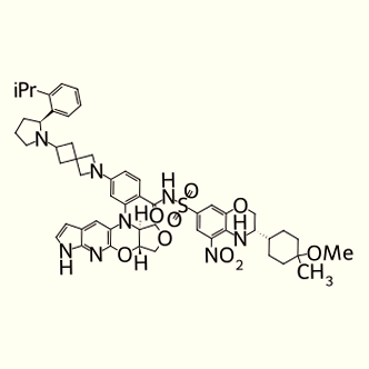 COC1(C)CCC([C@H]2COc3cc(S(=O)(=O)NC(=O)c4ccc(N5CC6(CC(N7CCC[C@H]7c7ccccc7C(C)C)C6)C5)cc4N4c5cc6cc[nH]c6nc5O[C@H]5COC[C@@H]54)cc([N+](=O)[O-])c3N2)CC1